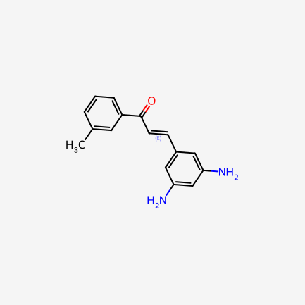 Cc1cccc(C(=O)/C=C/c2cc(N)cc(N)c2)c1